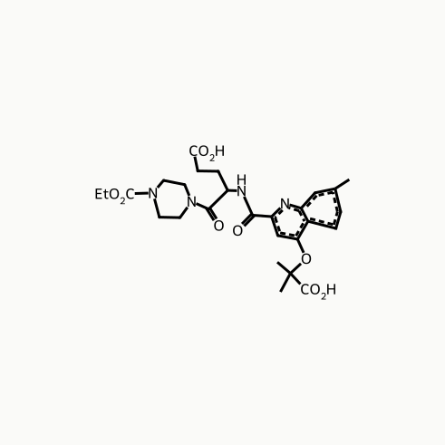 CCOC(=O)N1CCN(C(=O)C(CCC(=O)O)NC(=O)c2cc(OC(C)(C)C(=O)O)c3ccc(C)cc3n2)CC1